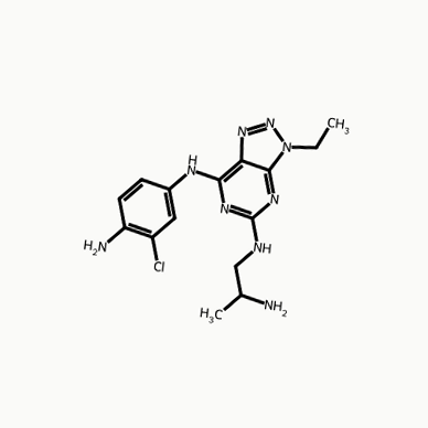 CCn1nnc2c(Nc3ccc(N)c(Cl)c3)nc(NCC(C)N)nc21